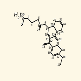 BC(C)CCCC(=C)CC1C=C(C(=C)C2=CC=C(CC)CC2)C(=C)C2CC=CCC12